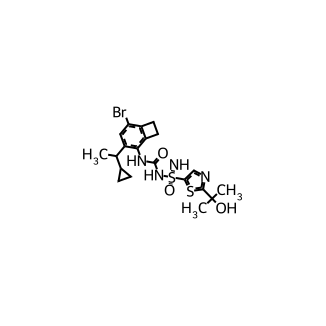 CC(c1cc(Br)c2c(c1NC(=O)NS(=N)(=O)c1cnc(C(C)(C)O)s1)CC2)C1CC1